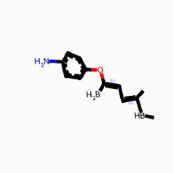 B/C(=C\C=C(/C)BC)Oc1ccc(N)cc1